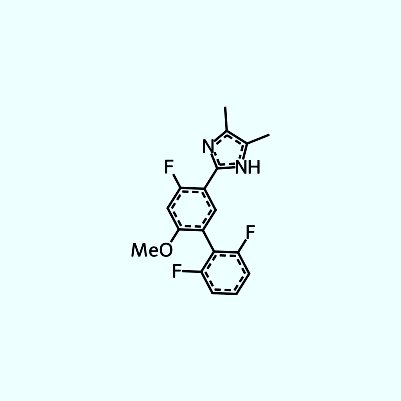 COc1cc(F)c(-c2nc(C)c(C)[nH]2)cc1-c1c(F)cccc1F